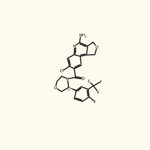 Nc1nc2cc(Cl)c(C(=O)N3CCOC[C@@H]3c3ccc(F)c(C(F)(F)F)c3)cc2c2c1COC2